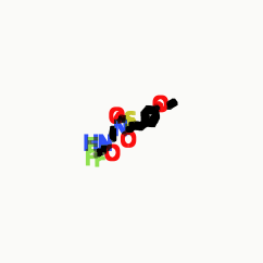 CCOc1ccc(/C=C2\SC(=O)N(CCNC(=O)C(F)(F)F)C2=O)cc1